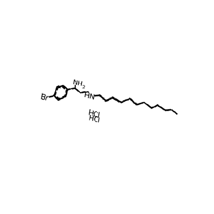 CCCCCCCCCCCCNCCC(N)c1ccc(Br)cc1.Cl.Cl